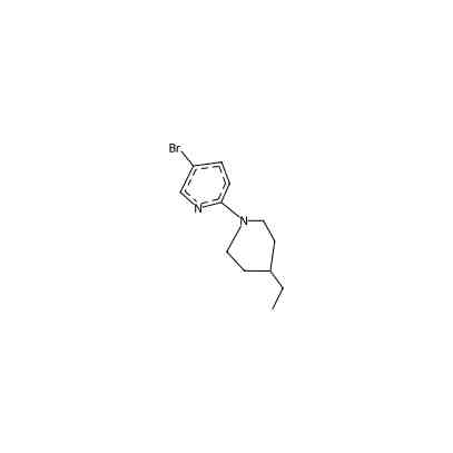 CCC1CCN(c2ccc(Br)cn2)CC1